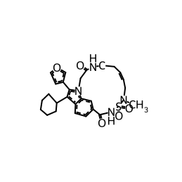 CN1CC=CCCNC(=O)Cn2c(-c3ccoc3)c(C3CCCCC3)c3ccc(cc32)C(=O)NS1(=O)=O